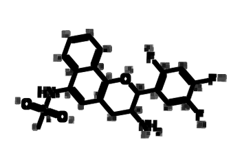 CS(=O)(=O)Nc1cc2c(c3ccccc13)OC(c1cc(F)c(F)cc1F)C(N)C2